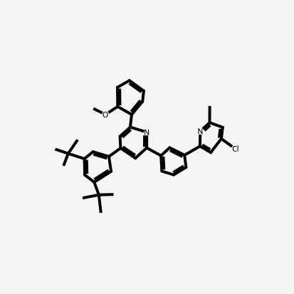 COc1ccccc1-c1cc(-c2cc(C(C)(C)C)cc(C(C)(C)C)c2)cc(-c2cccc(-c3cc(Cl)cc(C)n3)c2)n1